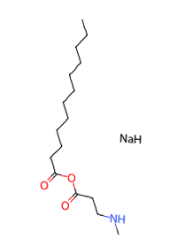 CCCCCCCCCCCC(=O)OC(=O)CCNC.[NaH]